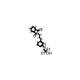 CCC(O)(CC)CNc1cccc(CCCN2C(=O)c3ccccc3C2=O)c1